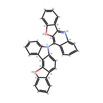 c1ccc2c(-n3c4ccccc4c4c5oc6ccccc6c5ccc43)c3oc4ccccc4c3nc2c1